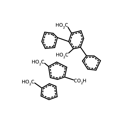 O=C(O)c1ccc(-c2ccccc2)c(C(=O)O)c1-c1ccccc1.O=C(O)c1ccc(C(=O)O)cc1.O=C(O)c1ccccc1